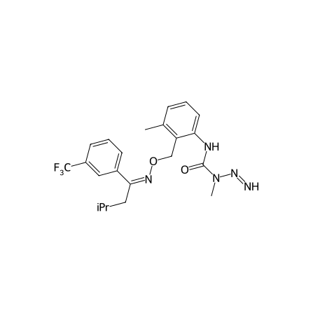 Cc1cccc(NC(=O)N(C)N=N)c1CON=C(CC(C)C)c1cccc(C(F)(F)F)c1